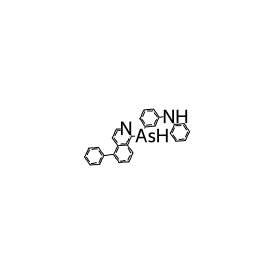 c1ccc(Nc2cccc([AsH]c3nccc4c(-c5ccccc5)cccc34)c2)cc1